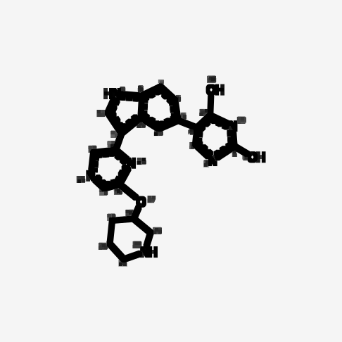 Oc1ncc(-c2ccc3[nH]cc(-c4cncc(OC5CCCNC5)n4)c3c2)c(O)n1